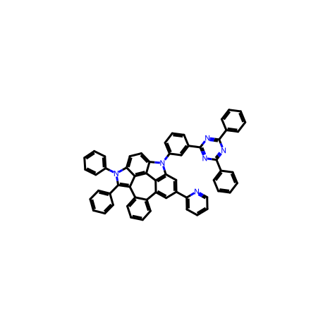 c1ccc(-c2nc(-c3ccccc3)nc(-c3cccc(-n4c5cc(-c6ccccn6)cc6c5c5c7c(c(-c8ccccc8)n(-c8ccccc8)c7ccc54)-c4ccccc4-6)c3)n2)cc1